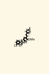 COc1nc(NS(=O)(=O)c2cccc(Cl)c2Cl)ccc1C=Cc1cnc(F)nc1